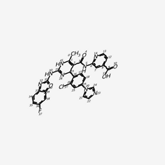 CC1=C(C(=O)Nc2cc(C(=O)O)ccn2)C(c2ccc(-n3ccnc3)cc2Cl)N=C(Nc2nc3ccc(F)cc3o2)N1